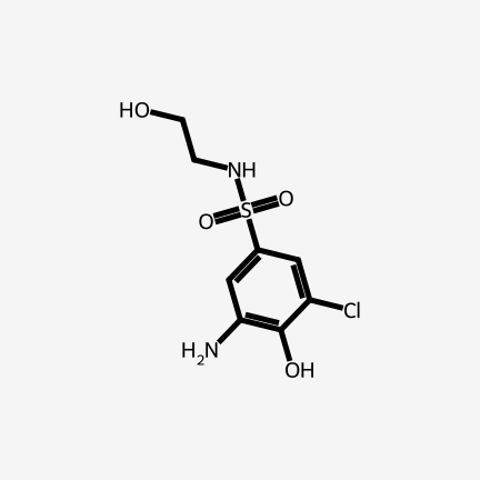 Nc1cc(S(=O)(=O)NCCO)cc(Cl)c1O